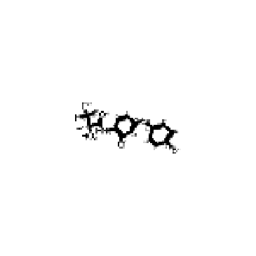 C[C@@](O)(C(=O)Nc1ccc(Sc2ccc(Br)cc2)cc1Cl)C(F)(F)F